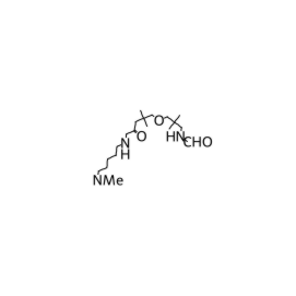 CNCCCCCNCC(=O)CC(C)(C)COCC(C)(C)CNC=O